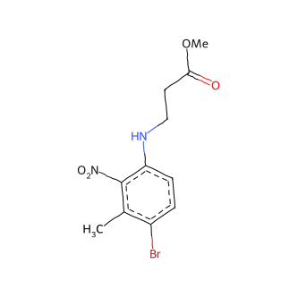 COC(=O)CCNc1ccc(Br)c(C)c1[N+](=O)[O-]